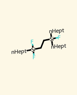 CCCCCCC[Si](F)(F)CC[Si](F)(CCCCCCC)CCCCCCC